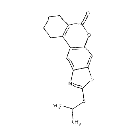 CC(C)Sc1nc2cc3c4c(c(=O)oc3cc2o1)CCCC4